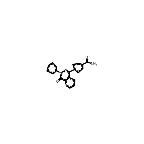 NC(=O)c1ccc(-c2nn(-c3ccccc3)c(=O)c3ncccc23)cc1